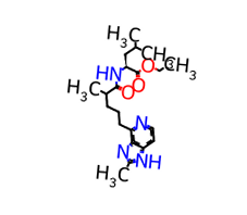 CCOC(=O)[C@H](CC(C)C)NC(=O)C(C)CCCc1nccc2[nH]c(C)nc12